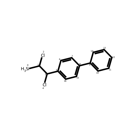 [SiH3]C(Cl)C(Cl)c1ccc(-c2ccccc2)cc1